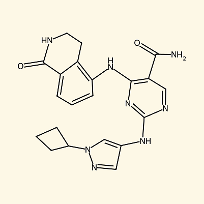 NC(=O)c1cnc(Nc2cnn(C3CCC3)c2)nc1Nc1cccc2c1CCNC2=O